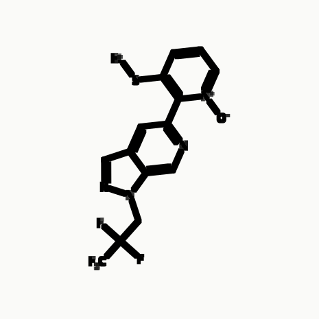 CCSc1ccc[n+]([O-])c1-c1cc2cnn(CC(F)(F)C(F)(F)F)c2cn1